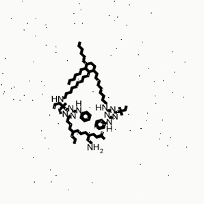 CCCCCCC1CCC(CCCCCCCCCNc2nc(Nc3ccccc3)nc(C(C)(C)CC)n2)C(CCCCCCCCCNC(CC)C(C)(CC)c2nc(CCCC(CCC)CCCC(CC=C(C)C)CCN)nc(Nc3ccccc3)n2)C1CCCCCC